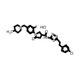 CC1CCN(Cc2ccc(N3CC(C(=O)Nc4nnc(CCc5ccc(Cl)cc5)s4)CC3=O)c(F)c2)CC1.Cl